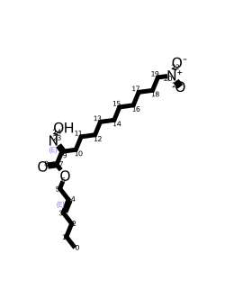 CCC/C=C/COC(=O)/C(CCCCCCCCCC[N+](=O)[O-])=N/O